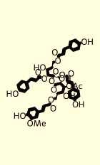 COc1cc(/C=C/C(=O)OC[C@H]2O[C@H](O[C@]3(COC(=O)/C=C/c4ccc(O)cc4)O[C@H](COC(=O)/C=C/c4ccc(O)cc4)[C@@H](O)[C@@H]3OC(=O)/C=C/c3ccc(O)cc3)[C@H](O)[C@@H](OC(C)=O)[C@@H]2O)ccc1O